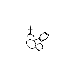 CC(C)(C)C(=O)OC1(c2cc3ccc2o3)CCCCc2ccccc21